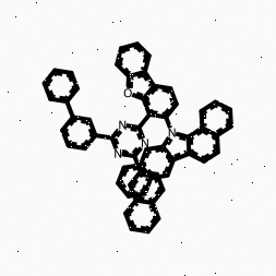 c1ccc(-c2cccc(-c3nc(-c4ccc5ccccc5c4)nc(-c4c(-n5c6cc7ccccc7cc6c6ccc7ccccc7c65)ccc5c4oc4ccccc45)n3)c2)cc1